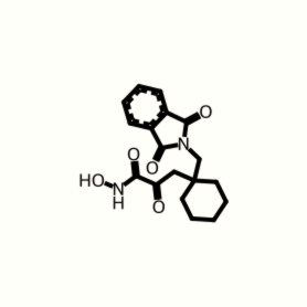 O=C(CC1(CN2C(=O)c3ccccc3C2=O)CCCCC1)C(=O)NO